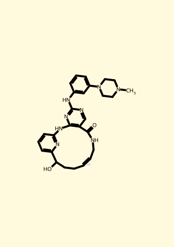 CN1CCN(c2cccc(Nc3ncc4c(n3)Nc3cccc(n3)C(O)CC/C=C\CNC4=O)c2)CC1